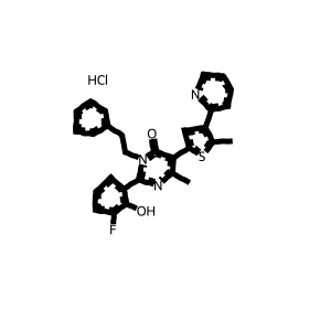 Cc1nc(-c2cccc(F)c2O)n(CCc2ccccc2)c(=O)c1-c1cc(-c2ccccn2)c(C)s1.Cl